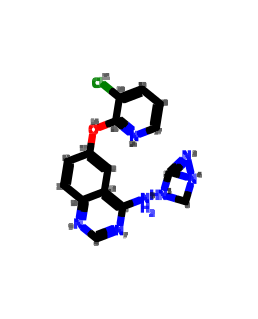 C1NC2=NN12.Nc1ncnc2ccc(Oc3ncccc3Cl)cc12